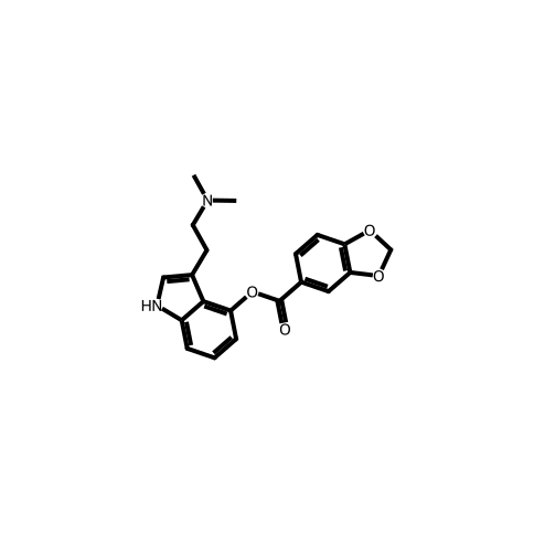 CN(C)CCc1c[nH]c2cccc(OC(=O)c3ccc4c(c3)OCO4)c12